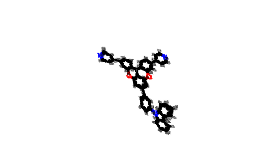 c1cc(-c2cc3c4c(c2)Oc2cc(-c5ccncc5)ccc2B4c2ccc(-c4ccncc4)cc2O3)cc(-n2c3ccccc3c3ccccc32)c1